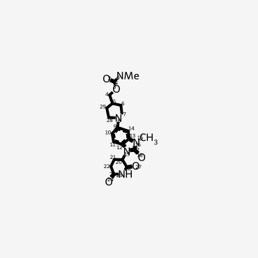 CNC(=O)OCC1CCN(c2ccc3c(c2)n(C)c(=O)n3C2CCC(=O)NC2=O)CC1